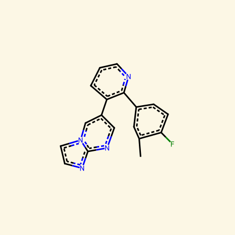 Cc1cc(-c2ncccc2-c2cnc3nccn3c2)ccc1F